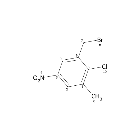 Cc1cc([N+](=O)[O-])cc(CBr)c1Cl